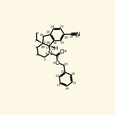 CC[C@]12CCCN(C(=O)OCc3ccccc3)[C@H]1c1cc(C#N)ccc1C2